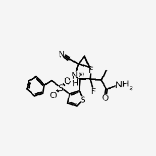 CC(C(N)=O)C(F)(F)[C@@H](NC1(C#N)CC1)c1sccc1S(=O)(=O)Cc1ccccc1